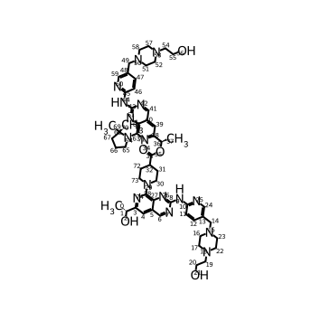 C[C@@H](O)c1cc2cnc(Nc3ccc(CN4CCN(CCO)CC4)cn3)nc2c(N2CCC(C(=O)O[C@H](C)c3cc4cnc(Nc5ccc(CN6CCN(CCO)CC6)cn5)nc4c(N4CCCC4(C)C)n3)CC2)n1